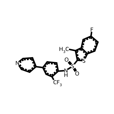 Cc1c(S(=O)(=O)Nc2ccc(-c3ccncc3)cc2C(F)(F)F)sc2ccc(F)cc12